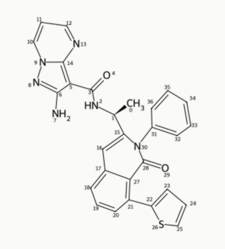 C[C@H](NC(=O)c1c(N)nn2cccnc12)c1cc2cccc(-c3cccs3)c2c(=O)n1-c1ccccc1